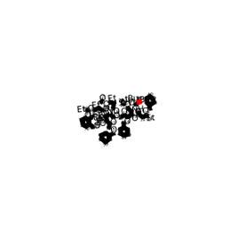 CCC(=O)O[C@H](CC)CC(=O)NC1[C@H](OCC2O[C@H](O[Si](C)(C)C(C)(C)C)C(NC(=O)C[C@H](C)CC)[C@@H](OC(=O)C[C@@H](CC)OCc3ccccc3)[C@@H]2OCc2ccccc2)OC(COCc2ccccc2)[C@@H](OP2(=O)OCc3ccccc3CO2)[C@@H]1OC(=O)C[C@@H](CC)OC(=O)CC